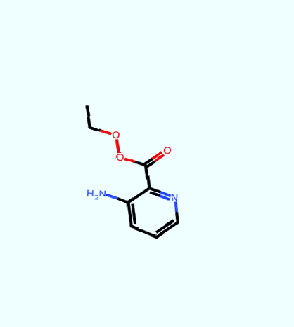 CCOOC(=O)c1ncccc1N